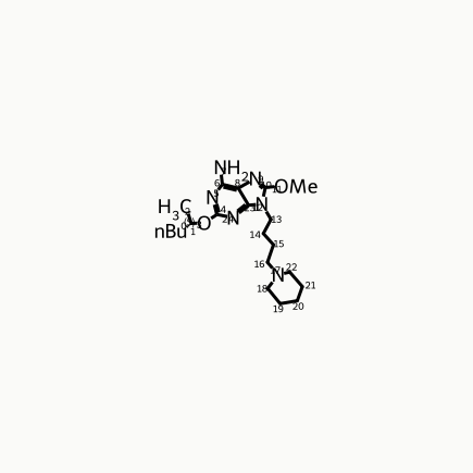 CCCC[C@H](C)Oc1nc(N)c2nc(OC)n(CCCCN3CCCCC3)c2n1